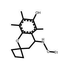 CCONC1CC2(CCC2)Oc2c(C)c(C)c(O)c(C)c21